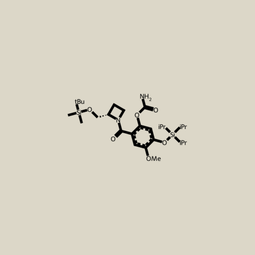 COc1cc(C(=O)N2CC[C@H]2CO[Si](C)(C)C(C)(C)C)c(OC(N)=O)cc1O[Si](C(C)C)(C(C)C)C(C)C